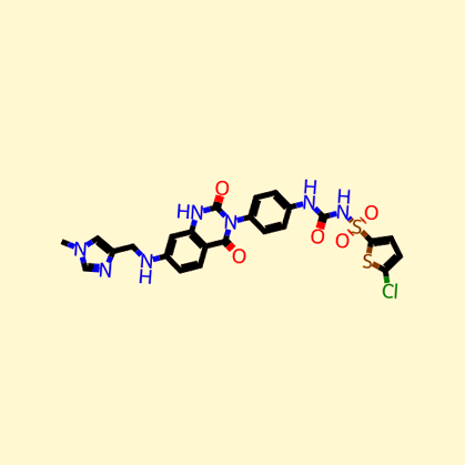 Cn1cnc(CNc2ccc3c(=O)n(-c4ccc(NC(=O)NS(=O)(=O)c5ccc(Cl)s5)cc4)c(=O)[nH]c3c2)c1